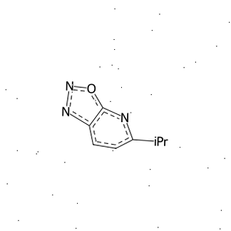 CC(C)c1ccc2nnoc2n1